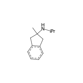 CC(C)NC1(C)Cc2ccccc2C1